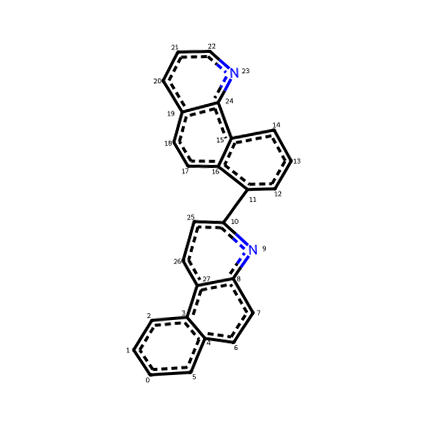 c1ccc2c(c1)ccc1nc(-c3cccc4c3ccc3cccnc34)ccc12